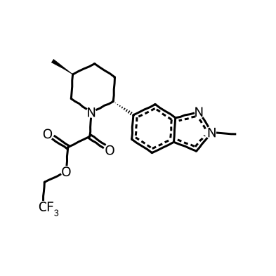 C[C@H]1CC[C@H](c2ccc3cn(C)nc3c2)N(C(=O)C(=O)OCC(F)(F)F)C1